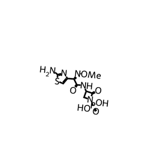 CON=C(C(=O)NC1CN(P(=O)(O)O)C1=O)c1csc(N)n1